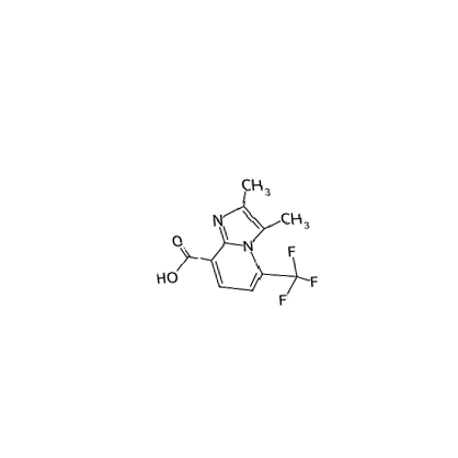 Cc1nc2c(C(=O)O)ccc(C(F)(F)F)n2c1C